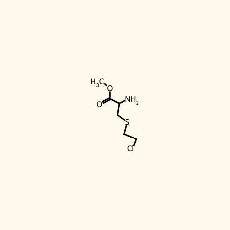 COC(=O)C(N)CSCCCl